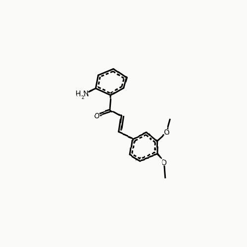 COc1ccc(C=CC(=O)c2ccccc2N)cc1OC